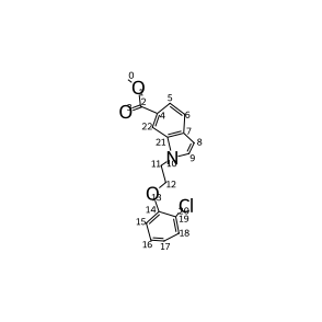 COC(=O)c1ccc2ccn(CCOc3ccccc3Cl)c2c1